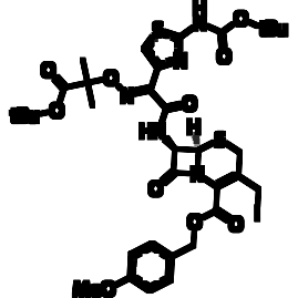 COc1ccc(COC(=O)C2=C(CI)CS[C@@H]3[C@H](NC(=O)C(=NOC(C)(C)C(=O)OC(C)(C)C)c4csc(NC(=O)OC(C)(C)C)n4)C(=O)N23)cc1